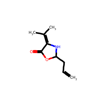 C=CCC1NC(=C(C)C)C(=O)O1